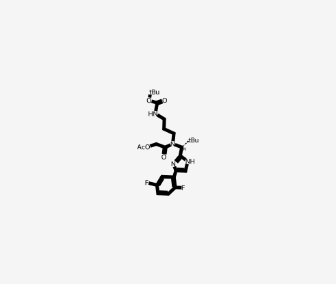 CC(=O)OCC(=O)N(CCCNC(=O)OC(C)(C)C)[C@@H](c1nc(-c2cc(F)ccc2F)c[nH]1)C(C)(C)C